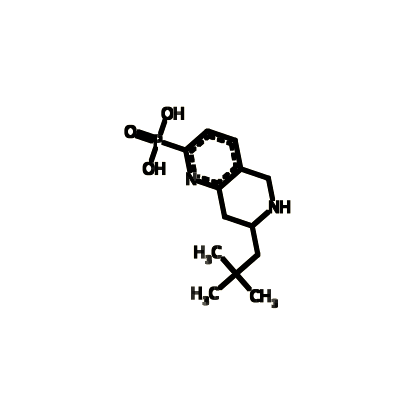 CC(C)(C)CC1Cc2nc(P(=O)(O)O)ccc2CN1